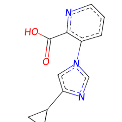 O=C(O)c1ncccc1-n1cnc(C2CC2)c1